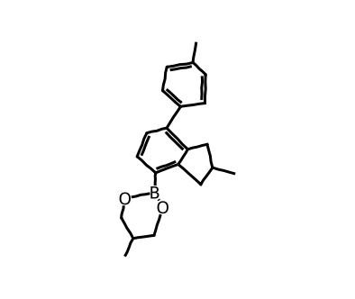 Cc1ccc(-c2ccc(B3OCC(C)CO3)c3c2CC(C)C3)cc1